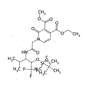 CCOC(=O)c1ccn(CC(=O)NC(C(C)C)C(O[Si](C)(C)C(C)(C)C)C(F)(F)F)c(=O)c1C(=O)OC